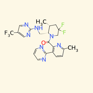 Cc1ccc(-c2ncccn2)c(C(=O)N2CC(F)(F)C[C@@H](C)[C@H]2CNc2ncc(C(F)(F)F)cn2)n1